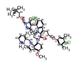 COc1ccc(N2C[C@@H](C)n3c(c(CCCOc4cc(C)c(Cl)c(C)c4)c4ccc(Cl)c(-c5c(C)nn(COCC[Si](C)(C)C)c5C)c43)C2=O)c2c1cc(C)n2Cc1ccccn1